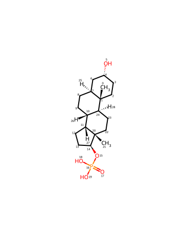 C[C@]12CC[C@@H](O)C[C@@H]1CC[C@H]1[C@H]3CC[C@H](OP(=O)(O)O)[C@@]3(C)CC[C@@H]12